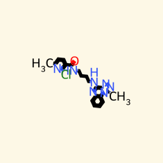 Cc1ccc(C(=O)NCCCCNc2nc3ccccc3n3c(C)nnc23)c(Cl)n1